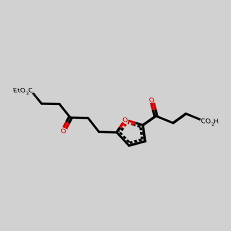 CCOC(=O)CCC(=O)CCc1ccc(C(=O)CCC(=O)O)o1